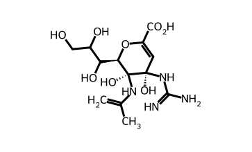 C=C(C)N[C@@]1(O)[C@@H](C(O)C(O)CO)OC(C(=O)O)=C[C@@]1(O)NC(=N)N